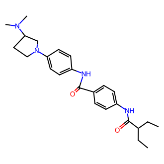 CCC(CC)C(=O)Nc1ccc(C(=O)Nc2ccc(N3CCC(N(C)C)C3)cc2)cc1